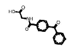 O=C(O)CNC(=O)c1ccc(C(=O)c2ccccc2)cc1